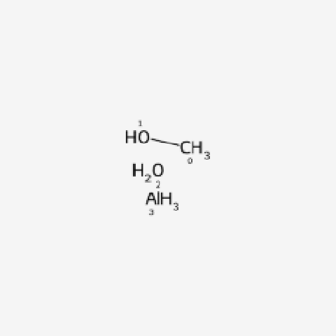 CO.O.[AlH3]